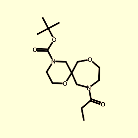 CCC(=O)N1CCOCC2(C1)CN(C(=O)OC(C)(C)C)CCO2